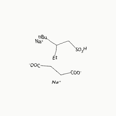 CCCCC(CC)CS(=O)(=O)O.O=C([O-])CCC(=O)[O-].[Na+].[Na+]